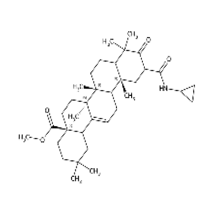 COC(=O)[C@]12CCC(C)(C)CC1C1=CCC3[C@@]4(C)CC(C(=O)NC5CC5)C(=O)C(C)(C)C4CC[C@@]3(C)[C@]1(C)CC2